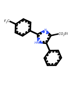 CCOC(=O)c1nc(-c2ccc(C(F)(F)F)cc2)[nH]c1-c1ccccc1